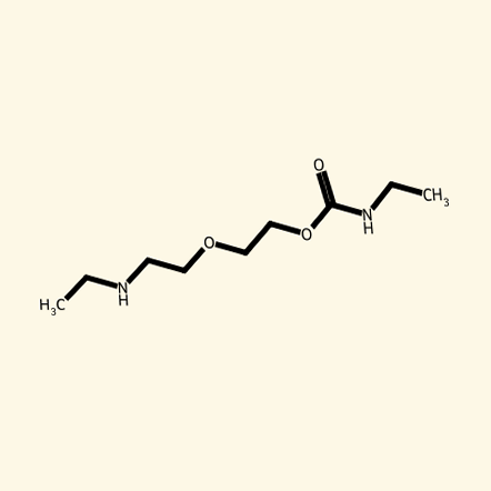 CCNCCOCCOC(=O)NCC